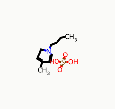 CCCCN1C=CC(C)=CC1.O=S(=O)(O)O